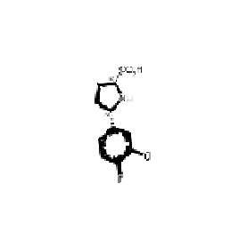 O=C(O)[C@H]1CC[C@@H](c2ccc(F)c(Cl)c2)N1